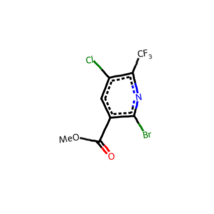 COC(=O)c1cc(Cl)c(C(F)(F)F)nc1Br